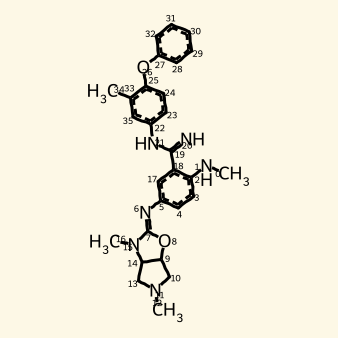 CNc1ccc(/N=C2\OC3CN(C)CC3N2C)cc1C(=N)Nc1ccc(Oc2ccccc2)c(C)c1